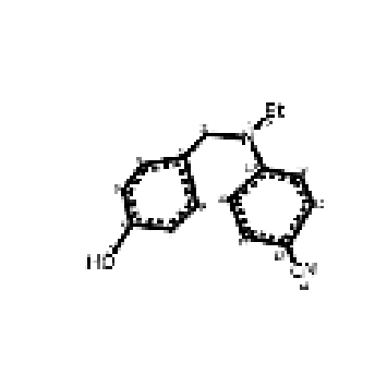 CCN(Cc1ccc(O)cc1)c1ccc(C#N)cc1